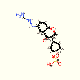 NCN=Nc1ccc2occ(-c3ccc(OS(=O)(=O)O)cc3)c(=O)c2c1